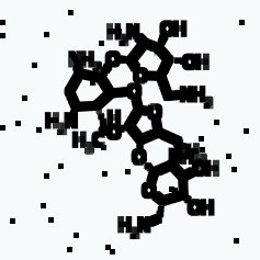 CCC1OC(OC2[C@H](O[C@@H]3OC(CN)[C@@H](O)[C@H](O)C3N)C(N)C[C@@H](N)[C@H]2CC)[C@@H](O)[C@H]1O[C@H]1O[C@@H](CN)[C@@H](O)C(O)C1N